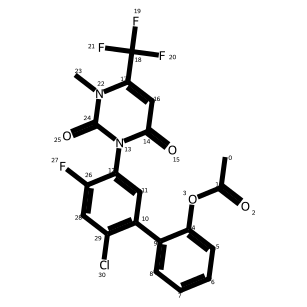 CC(=O)Oc1ccccc1-c1cc(-n2c(=O)cc(C(F)(F)F)n(C)c2=O)c(F)cc1Cl